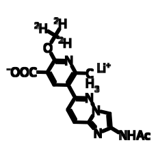 [2H]C([2H])([2H])Oc1nc(C)c(-c2ccc3nc(NC(C)=O)cn3n2)cc1C(=O)[O-].[Li+]